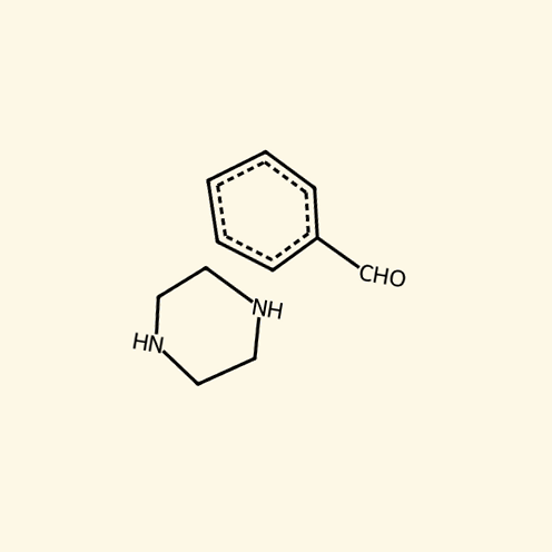 C1CNCCN1.O=Cc1ccccc1